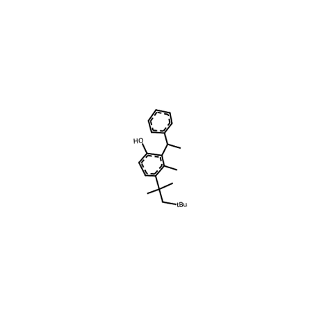 Cc1c(C(C)(C)CC(C)(C)C)ccc(O)c1C(C)c1ccccc1